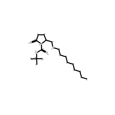 CCCCCCCCCSCC1CCC(=O)N1C(=O)OC(C)(C)C